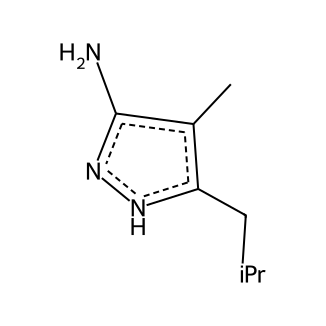 Cc1c(N)n[nH]c1CC(C)C